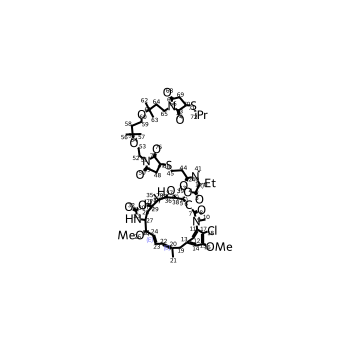 CC[C@H](C(=O)O[C@H]1CC(=O)N(C)c2cc(cc(OC)c2Cl)C/C(C)=C/C=C/[C@@H](OC)C2C[C@H](OC(=O)N2)[C@@H](C)[C@@H]2O[C@@]12C)N(C)C(=O)CCSC1CC(=O)N(CCOC(C)(C)CCOC(C)(C)CCN2C(=O)CC(SC(C)C)C2=O)C1=O